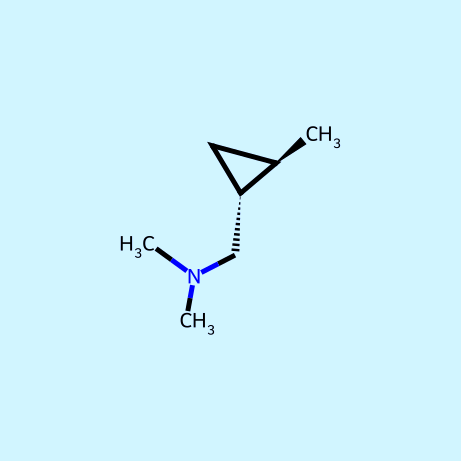 C[C@@H]1C[C@H]1CN(C)C